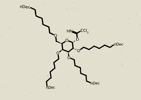 CCCCCCCCCCCCCCCCOC[C@H]1O[C@H](OC(=N)C(Cl)(Cl)Cl)[C@H](OCCCCCCCCCCCCCCCC)[C@@H](OCCCCCCCCCCCCCCCC)[C@H]1OCCCCCCCCCCCCCCCC